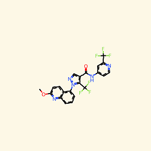 COc1ccc2c(-n3ncc(C(=O)Nc4ccnc(C(F)(F)F)c4)c3C(F)(F)F)cccc2n1